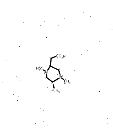 C[C@H]1CN(C)C(CC(=O)O)CN1C